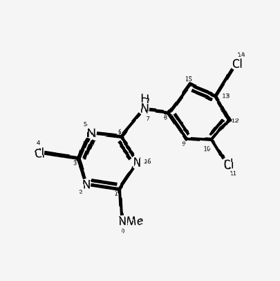 CNc1nc(Cl)nc(Nc2cc(Cl)cc(Cl)c2)n1